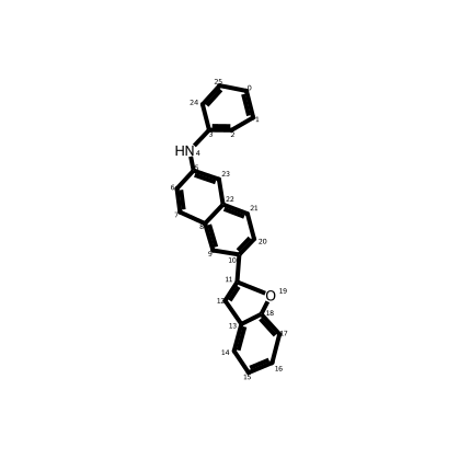 c1ccc(Nc2ccc3cc(-c4cc5ccccc5o4)ccc3c2)cc1